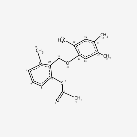 CC(=O)Sc1cccc(C)c1COc1cc(C)c(C)cc1C